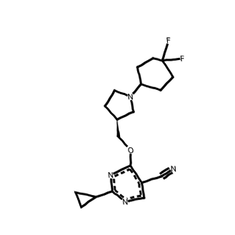 N#Cc1cnc(C2CC2)nc1OC[C@H]1CCN(C2CCC(F)(F)CC2)C1